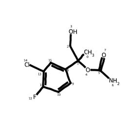 CC(CO)(OC(N)=O)c1ccc(F)c(Cl)c1